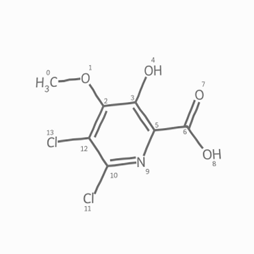 COc1c(O)c(C(=O)O)nc(Cl)c1Cl